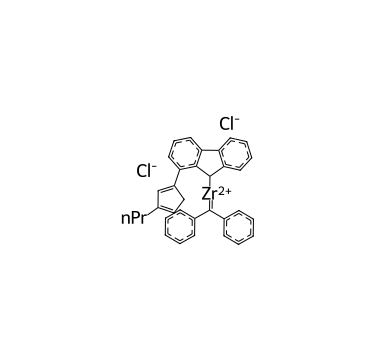 CCCC1=CCC(c2cccc3c2[CH]([Zr+2]=[C](c2ccccc2)c2ccccc2)c2ccccc2-3)=C1.[Cl-].[Cl-]